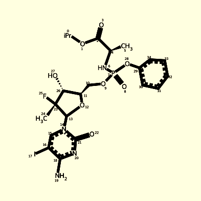 CC(C)OC(=O)[C@@H](C)NP(=O)(OC[C@H]1OC(n2cc(I)c(N)nc2=O)[C@](C)(F)[C@@H]1O)Oc1ccccc1